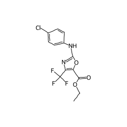 CCOC(=O)c1oc(Nc2ccc(Cl)cc2)nc1C(F)(F)F